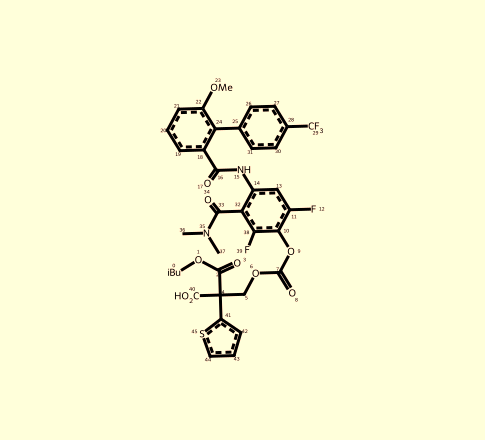 CCC(C)OC(=O)C(COC(=O)Oc1c(F)cc(NC(=O)c2cccc(OC)c2-c2ccc(C(F)(F)F)cc2)c(C(=O)N(C)C)c1F)(C(=O)O)c1cccs1